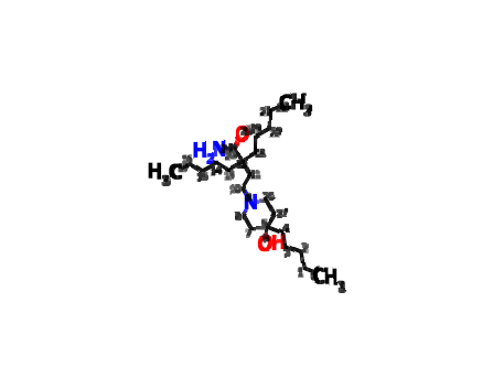 CCCCCC1(O)CCN(CCC(CCCCC)(CCCCC)C(N)=O)CC1